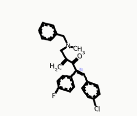 C=C(CN(C)Cc1ccccc1)C(=O)/C(=C/c1ccc(Cl)cc1)c1ccc(F)cc1